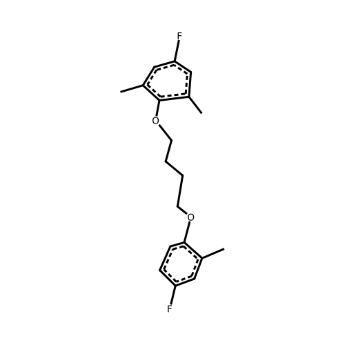 Cc1cc(F)ccc1OCCCCOc1c(C)cc(F)cc1C